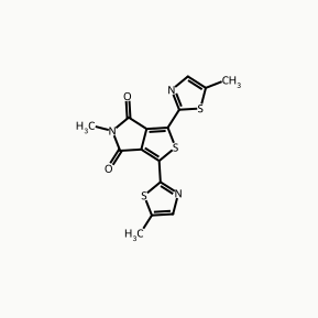 Cc1cnc(-c2sc(-c3ncc(C)s3)c3c2C(=O)N(C)C3=O)s1